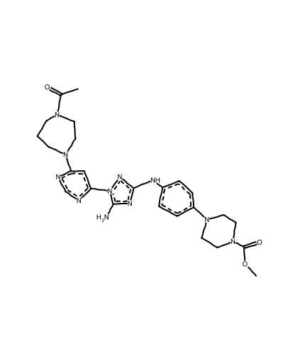 COC(=O)N1CCN(c2ccc(Nc3nc(N)n(-c4cc(N5CCCN(C(C)=O)CC5)ncn4)n3)cc2)CC1